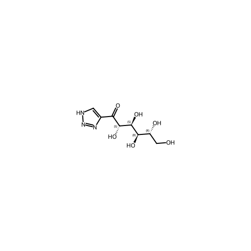 O=C(c1c[nH]nn1)[C@@H](O)[C@@H](O)[C@H](O)[C@H](O)CO